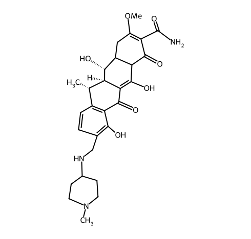 COC1=C(C(N)=O)C(=O)C2C(O)=C3C(=O)c4c(ccc(CNC5CCN(C)CC5)c4O)[C@H](C)[C@H]3[C@H](O)C2C1